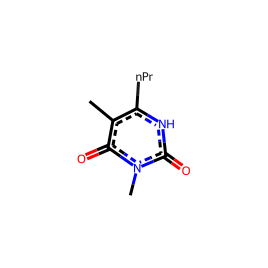 CCCc1[nH]c(=O)n(C)c(=O)c1C